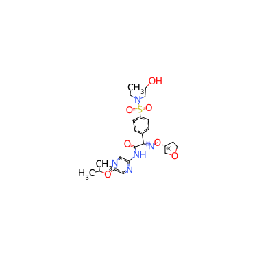 CCN(CCO)S(=O)(=O)c1ccc(/C(=N\O[C@@H]2CCOC2)C(=O)Nc2cnc(OC(C)C)cn2)cc1